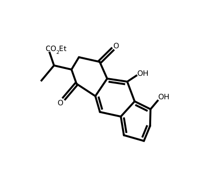 CCOC(=O)C(C)C1CC(=O)c2c(cc3cccc(O)c3c2O)C1=O